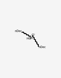 CCCCCCCCCCCCCCCCCCC(C)[N+](C)(O)CCCCCCCCCCCCCCCCCC.[Cl-]